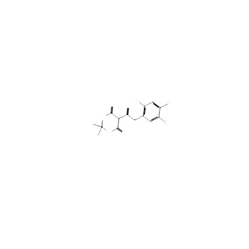 CC1(C)OC(=O)C(C(=O)Cc2cc(F)c(F)cc2F)C(=O)O1